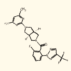 Cc1cc(C)nc(N2C[C@H]3CN(C(=O)c4c(F)cccc4-n4ncc(C(F)(F)F)n4)C[C@H]3C2)n1